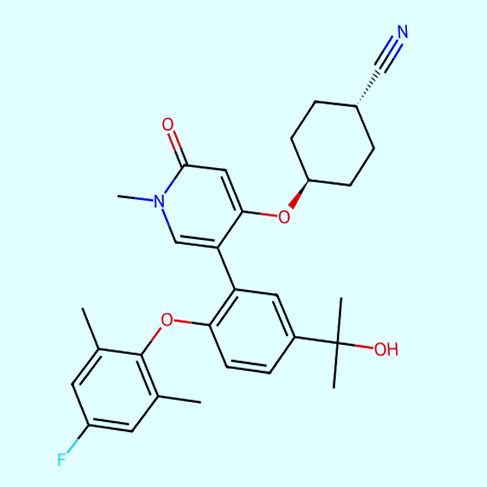 Cc1cc(F)cc(C)c1Oc1ccc(C(C)(C)O)cc1-c1cn(C)c(=O)cc1O[C@H]1CC[C@H](C#N)CC1